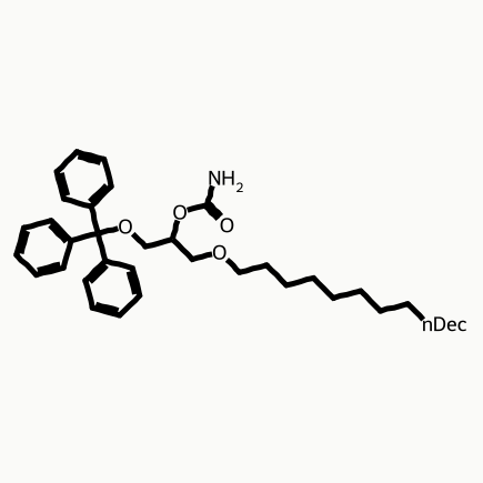 CCCCCCCCCCCCCCCCCCOCC(COC(c1ccccc1)(c1ccccc1)c1ccccc1)OC(N)=O